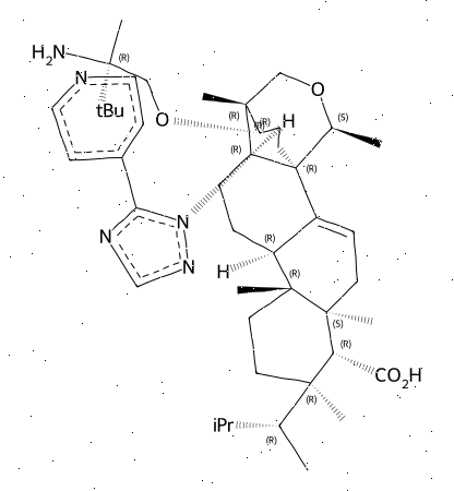 CC(C)[C@@H](C)[C@@]1(C)CC[C@]2(C)[C@H]3CC[C@H]4[C@]5(C)CO[C@@H](C)[C@@]4(C[C@@H](n4ncnc4-c4ccncc4)[C@@H]5OC[C@](C)(N)C(C)(C)C)C3=CC[C@@]2(C)[C@@H]1C(=O)O